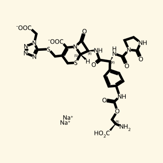 N[C@H](COC(=O)Nc1ccc([C@@H](NC(=O)N2CCNC2=O)C(=O)N[C@@H]2C(=O)N3C(C(=O)[O-])=C(CSc4nnnn4CC(=O)[O-])CS[C@@H]23)cc1)C(=O)O.[Na+].[Na+]